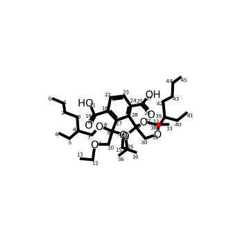 CCCCC(CC)COC(COCC)(OCC)c1c(C(=O)O)ccc(C(=O)O)c1C(COCC)(OCC)OCC(CC)CCCC